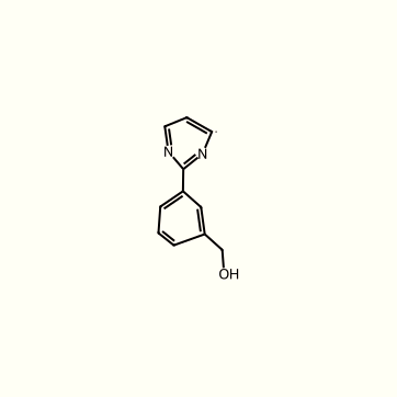 OCc1cccc(-c2n[c]ccn2)c1